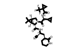 CC1(C)[C@@H]2[C@@H](C(=O)N[C@H](C#N)C[C@@H]3CCCNC3=O)N(C(=O)[C@@H](NC(=O)C3(C(F)(F)F)CC3)C3CC3)C[C@@H]21